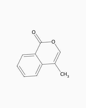 Cc1coc(=O)c2ccccc12